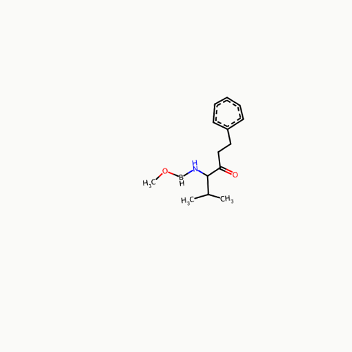 COBNC(C(=O)CCc1ccccc1)C(C)C